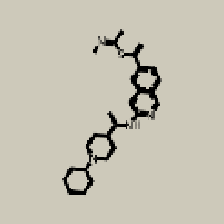 C=C(S/C(C)=N\C)c1ccc2cnc(NC(C)C3CCN(C4CCCCC4)CC3)cc2c1